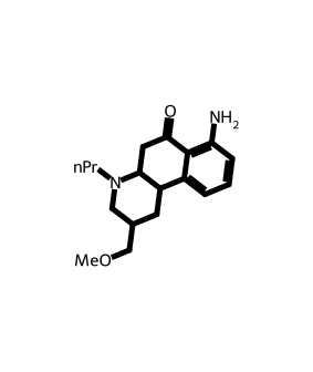 CCCN1CC(COC)CC2c3cccc(N)c3C(=O)CC21